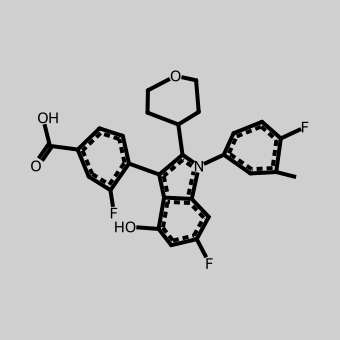 Cc1cc(-n2c(C3CCOCC3)c(-c3ccc(C(=O)O)cc3F)c3c(O)cc(F)cc32)ccc1F